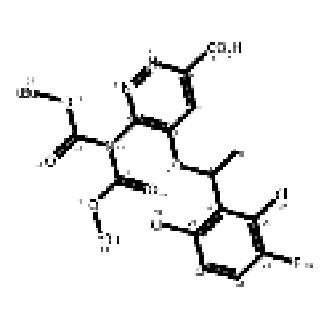 CC(Oc1cc(C(=O)O)nnc1N(C(=O)OC(C)(C)C)C(=O)OC(C)(C)C)c1c(Cl)ccc(F)c1Cl